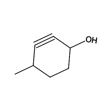 CC1C#CC(O)CC1